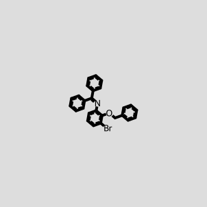 Brc1cccc(N=C(c2ccccc2)c2ccccc2)c1OCc1ccccc1